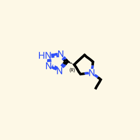 CCN1CC[C@@H](c2nn[nH]n2)C1